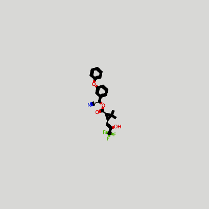 CC1(C)[C@H](C(=O)O[C@H](C#N)c2cccc(Oc3ccccc3)c2)[C@@H]1/C=C(\O)C(F)(F)F